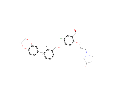 Cc1c(COc2cc(OCCN3CCC(O)C3)c(C=O)cc2Cl)cccc1-c1ccc2c(c1)OCCO2